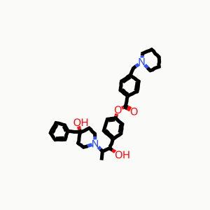 CC(C(O)c1ccc(OC(=O)c2ccc(CN3CCCCC3)cc2)cc1)N1CCC(O)(c2ccccc2)CC1